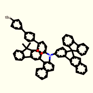 CC(C)(C)c1ccc(-c2ccc(-c3ccc(N(c4ccc5c(c4)-c4cc6ccccc6cc4C54c5ccccc5-c5ccccc54)c4ccc5ccccc5c4-c4ccc5c(c4)-c4ccccc4C5(C)C)cc3)cc2)cc1